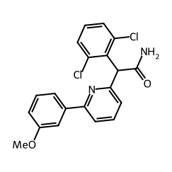 COc1cccc(-c2cccc(C(C(N)=O)c3c(Cl)cccc3Cl)n2)c1